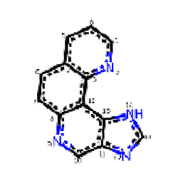 c1cnc2c(c1)ccc1ncc3nc[nH]c3c12